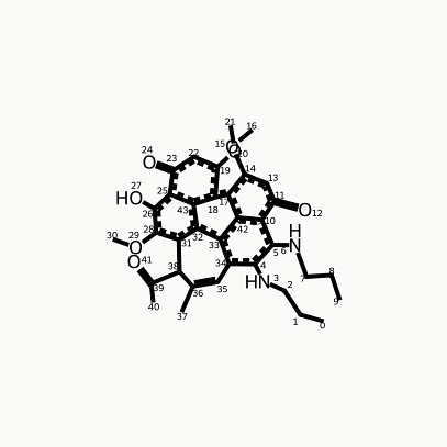 CCCNc1c(NCCC)c2c(=O)cc(OC)c3c4c(OC)cc(=O)c5c(O)c(OC)c6c(c(c1C=C(C)C6C(C)=O)c23)c54